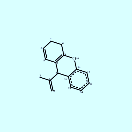 C=C(C)C1C2=C(CCC=C2)Oc2ccccc21